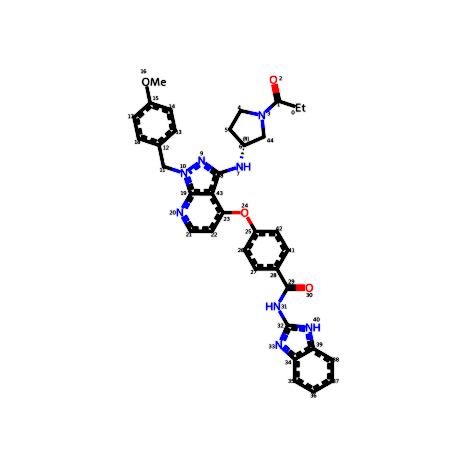 CCC(=O)N1CC[C@@H](Nc2nn(Cc3ccc(OC)cc3)c3nccc(Oc4ccc(C(=O)Nc5nc6ccccc6[nH]5)cc4)c23)C1